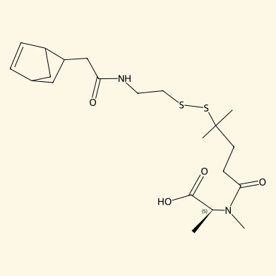 C[C@@H](C(=O)O)N(C)C(=O)CCC(C)(C)SSCCNC(=O)CC1CC2C=CC1C2